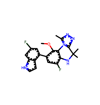 COc1c(-c2cc(F)cc3[nH]ccc23)cc(F)c2c1-n1c(C)nnc1C(C)(C)N2